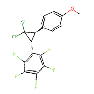 COc1ccc([C@H]2[C@H](c3c(F)c(F)c(F)c(F)c3F)C2(Cl)Cl)cc1